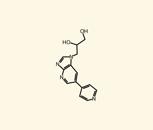 OCC(O)Cn1cnc2ncc(-c3ccncc3)cc21